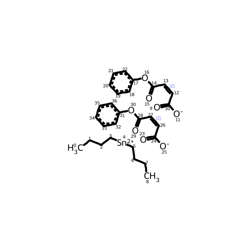 CCC[CH2][Sn+2][CH2]CCC.O=C([O-])/C=C\C(=O)Oc1ccccc1.O=C([O-])/C=C\C(=O)Oc1ccccc1